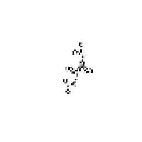 CC1(C)c2ccccc2-c2cc3c4c(n(-c5ccc(-n6c7c(c8cc9c(cc86)C(C)(C)c6ccccc6-9)C=C(c6cccc(-c8cc(-c9ccccc9)cc(-c9ccccc9)c8)c6)CC7)cc5)c3cc21)CCC(C1=CC(C2C=C(C3=CCCCC3)CC(c3ccccc3)C2)CCC1)=C4